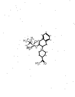 CC(=O)C1CCN(C2Cc3ccccc3CC2O[Si](C)(C)C(C)(C)C)CC1